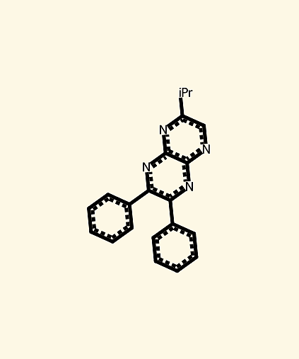 CC(C)c1cnc2nc(-c3ccccc3)c(-c3ccccc3)nc2n1